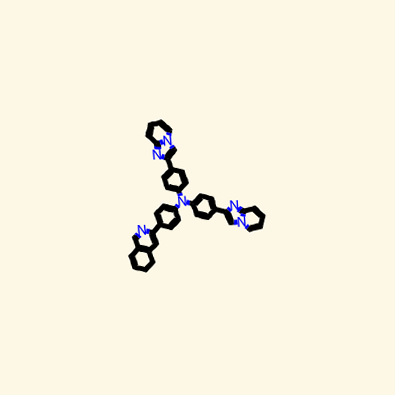 C1=Cc2cnc(-c3ccc(N(c4ccc(-c5cn6ccccc6n5)cc4)c4ccc(-c5cn6ccccc6n5)cc4)cc3)cc2CC1